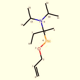 C=CCOPC(C)(CC)N(C(C)C)C(C)C